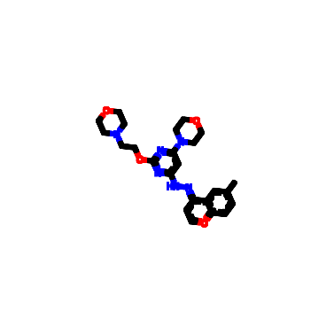 Cc1ccc2occc(=NNc3cc(N4CCOCC4)nc(OCCN4CCOCC4)n3)c2c1